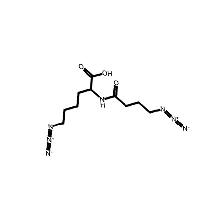 [N-]=[N+]=NCCCCC(NC(=O)CCCN=[N+]=[N-])C(=O)O